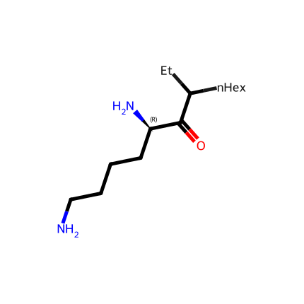 CCCCCCC(CC)C(=O)[C@H](N)CCCCN